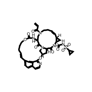 C=CC(=O)N1CC/C=C\[C@@H]2C[C@@]2(C(=O)NS(=O)(=O)C2CC2)NC(=O)[C@@H]2C[C@@H]3CN2C(=O)[C@H](C1)NC(=O)OCCC/C=C/c1ccc2ccnc(c2c1)O3